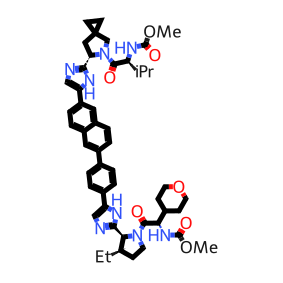 CC[C@@H]1CCN(C(=O)[C@@H](NC(=O)OC)C2CCOCC2)[C@@H]1c1ncc(-c2ccc(-c3ccc4cc(-c5cnc([C@@H]6CC7(CC7)CN6C(=O)[C@@H](NC(=O)OC)C(C)C)[nH]5)ccc4c3)cc2)[nH]1